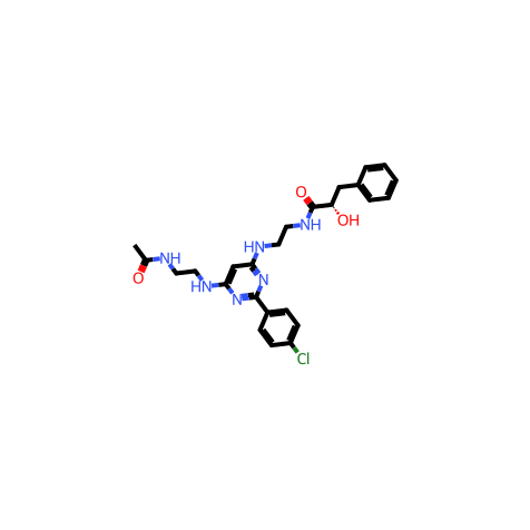 CC(=O)NCCNc1cc(NCCNC(=O)[C@@H](O)Cc2ccccc2)nc(-c2ccc(Cl)cc2)n1